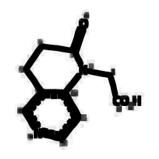 O=C(O)CN1C(=O)CCc2cnccc21